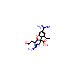 CCc1cc(C(=N)N)ccc1C(CC=CN)(C(=O)O)C(=O)C(N)CC=O